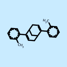 Cc1ccccc1C1=CCC2CC1CC=C2c1ccccc1C